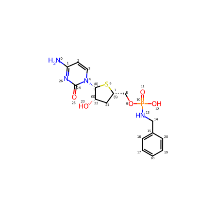 Nc1ccn([C@@H]2S[C@H](COP(=O)(O)NCc3ccccc3)C[C@@H]2O)c(=O)n1